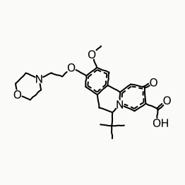 COc1cc2c(cc1OCCN1CCOCC1)CC(C(C)(C)C)n1cc(C(=O)O)c(=O)cc1-2